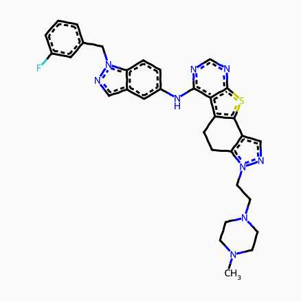 CN1CCN(CCn2ncc3c2CCc2c-3sc3ncnc(Nc4ccc5c(cnn5Cc5cccc(F)c5)c4)c23)CC1